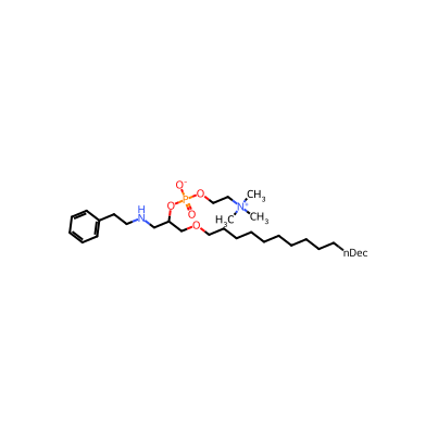 CCCCCCCCCCCCCCCCCCCCOCC(CNCCc1ccccc1)OP(=O)([O-])OCC[N+](C)(C)C